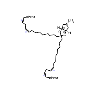 CCCCC/C=C\C/C=C\CCCCCCCCC1(CCCCCCCC/C=C\C/C=C\CCCCC)O[C@@H]2CN(C)C[C@H]2O1